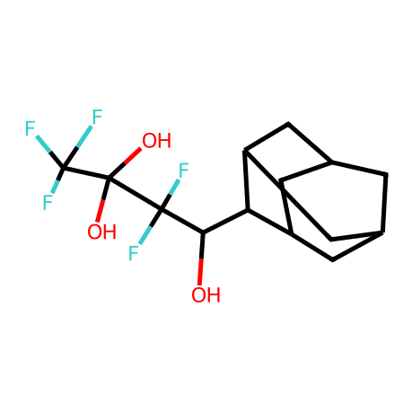 OC(C1C2CC3CC(C2)CC1C3)C(F)(F)C(O)(O)C(F)(F)F